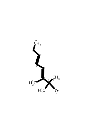 CC/C=C/C=C(\C)C(C)(C)[O]